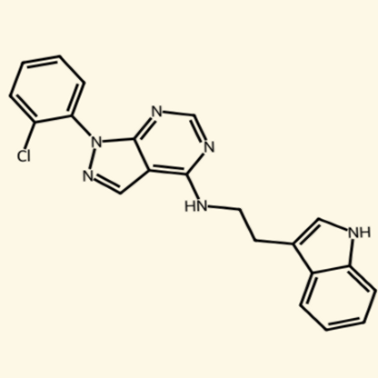 Clc1ccccc1-n1ncc2c(NCCc3c[nH]c4ccccc34)ncnc21